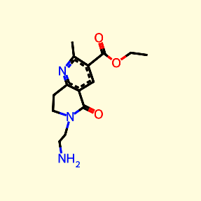 CCOC(=O)c1cc2c(nc1C)CCN(CCN)C2=O